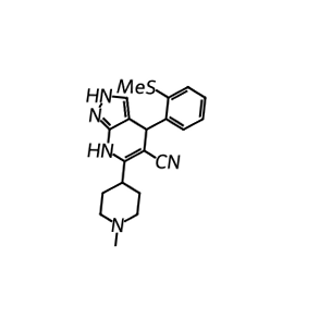 CSc1ccccc1C1C(C#N)=C(C2CCN(C)CC2)Nc2n[nH]cc21